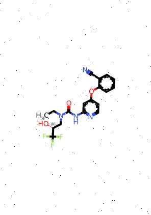 CCN(C[C@@H](O)C(F)(F)F)C(=O)Nc1cc(Oc2ccccc2C#N)ccn1